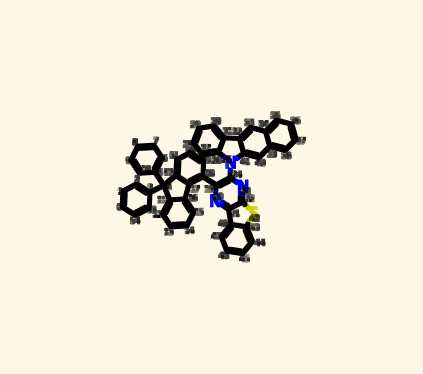 c1ccc(C2(c3ccccc3)c3ccccc3-c3c(-c4nc5c(nc4-n4c6ccccc6c6cc7ccccc7cc64)sc4ccccc45)cccc32)cc1